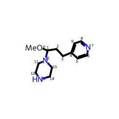 COC([CH]Cc1ccncc1)N1CCNCC1